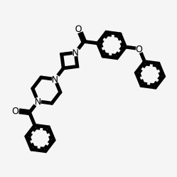 O=C(c1ccccc1)N1CCN(C2CN(C(=O)c3ccc(Oc4ccccc4)cc3)C2)CC1